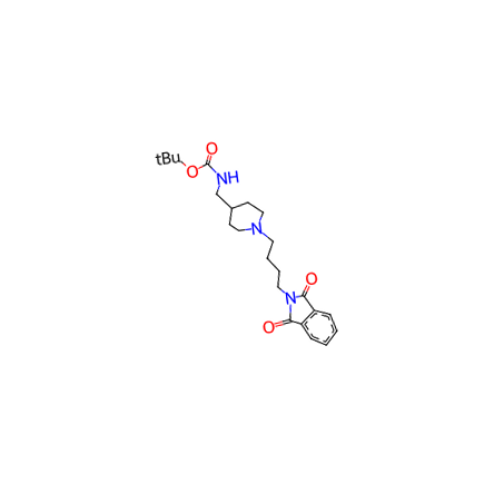 CC(C)(C)OC(=O)NCC1CCN(CCCCN2C(=O)c3ccccc3C2=O)CC1